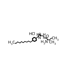 CCCCCCCCCCc1ccc(-c2noc(CNC(=O)C(N)C(C)CC)n2)cc1.Cl